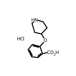 Cl.O=C(O)c1ccccc1OC1CCNCC1